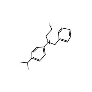 CC(C)c1ccc(N(CCI)Cc2ccccc2)cc1